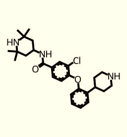 CC1(C)CC(NC(=O)c2ccc(Oc3ccccc3C3CCNCC3)c(Cl)c2)CC(C)(C)N1